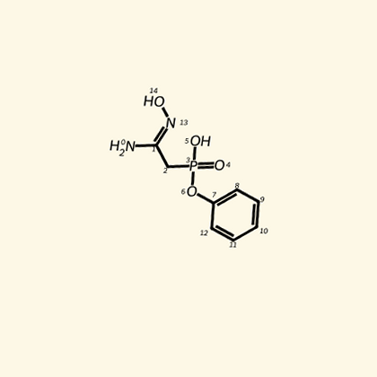 NC(CP(=O)(O)Oc1ccccc1)=NO